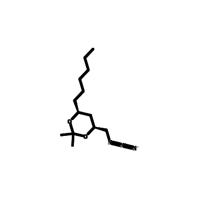 CCCCCC[C@H]1C[C@@H](CN=[N+]=[N-])OC(C)(C)O1